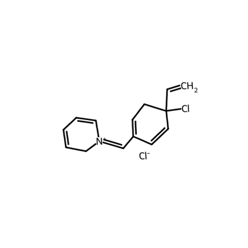 C=CC1(Cl)C=CC(C=[N+]2C=CC=CC2)=CC1.[Cl-]